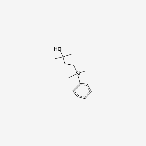 CC(C)(O)CC[Si](C)(C)c1ccccc1